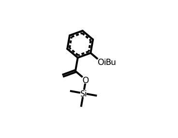 C=C(O[Si](C)(C)C)c1ccccc1OCC(C)C